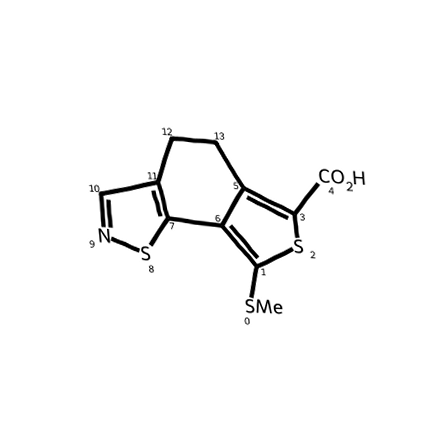 CSc1sc(C(=O)O)c2c1-c1sncc1CC2